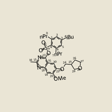 CCCc1cc(C(C)CC)cc(CCC)c1S(=O)(=O)Oc1nc(C)nc2cc(OC)c(OCC3CCOC3)cc12